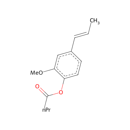 CC=Cc1ccc(OC(=O)CCC)c(OC)c1